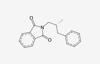 C[C@H](Cc1ccccc1)CN1C(=O)c2ccccc2C1=O